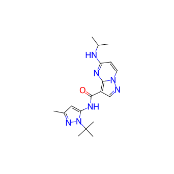 Cc1cc(NC(=O)c2cnn3ccc(NC(C)C)nc23)n(C(C)(C)C)n1